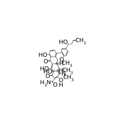 C=CCC(O)c1ccc(OC)c(-c2ccc(O)c3c2C[C@H]2C[C@H]4[C@H](N(C)C)C(O)=C(C(N)=O)C(=O)[C@@]4(O)C(O)=C2C3=O)c1